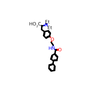 CCN(CC)C(Cc1ccc(OCCNC(=O)c2ccc(-c3ccccc3)cc2)cc1)C(=O)O